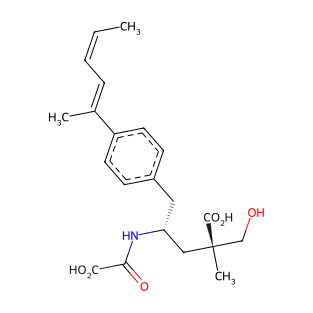 C/C=C\C=C(/C)c1ccc(C[C@H](C[C@@](C)(CO)C(=O)O)NC(=O)C(=O)O)cc1